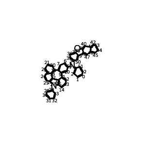 c1ccc(N(c2ccc3c(c2)-c2cccc4c2c2c5c-3cccc5ccc2n4-c2ccccc2)c2ccc3oc4cc5ccccc5cc4c3c2)cc1